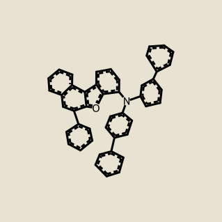 c1ccc(-c2ccc(N(c3cccc(-c4ccccc4)c3)c3cccc4c3oc3c(-c5ccccc5)cc5ccccc5c34)cc2)cc1